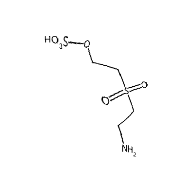 NCCS(=O)(=O)CCOS(=O)(=O)O